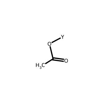 CC(=O)[O][Y]